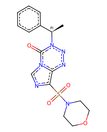 C[C@H](c1ccccc1)n1nnc2c(S(=O)(=O)N3CCOCC3)ncn2c1=O